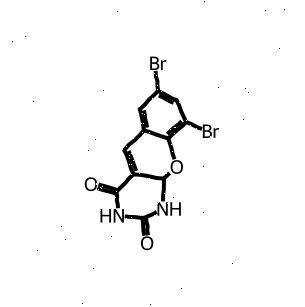 O=C1NC(=O)C2=Cc3cc(Br)cc(Br)c3OC2N1